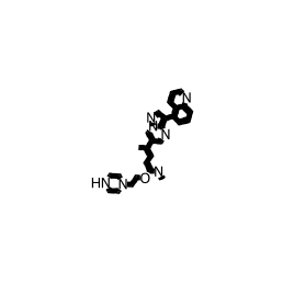 C=N/C(=C\C=C(/C)c1cnc2c(-c3cccc4ncccc34)cnn2c1)OCCN1CCNCC1